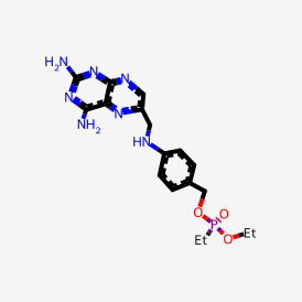 CCOP(=O)(CC)OCc1ccc(NCc2cnc3nc(N)nc(N)c3n2)cc1